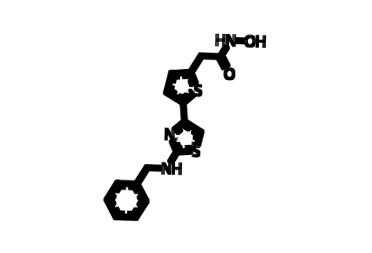 O=C(Cc1ccc(-c2csc(NCc3ccccc3)n2)s1)NO